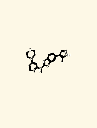 Cc1[nH]ncc1-c1ccc2nc(Nc3cc(N4CCOCC4)ccn3)sc2c1